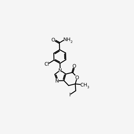 CC1(CI)Cc2ncn(-c3ccc(C(N)=O)cc3Cl)c2C(=O)O1